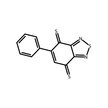 S=C1C=C(c2ccccc2)C(=S)c2nsnc21